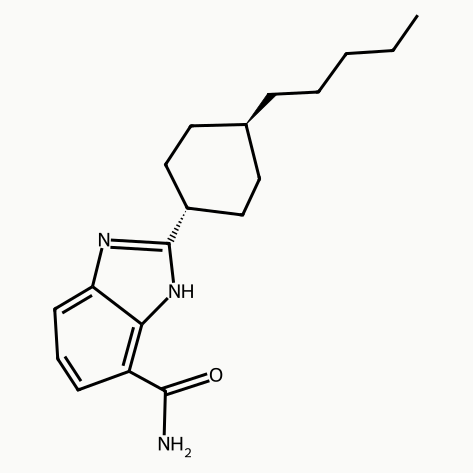 CCCCC[C@H]1CC[C@H](c2nc3cccc(C(N)=O)c3[nH]2)CC1